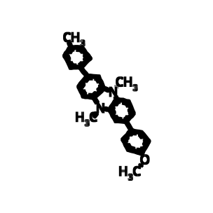 COc1ccc(-c2ccc3c(c2)N(C)c2ccc(-c4ccc(C)cc4)cc2N3C)cc1